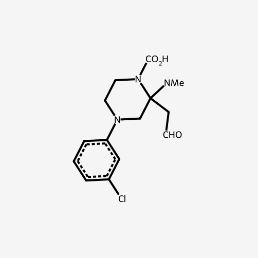 CNC1(CC=O)CN(c2cccc(Cl)c2)CCN1C(=O)O